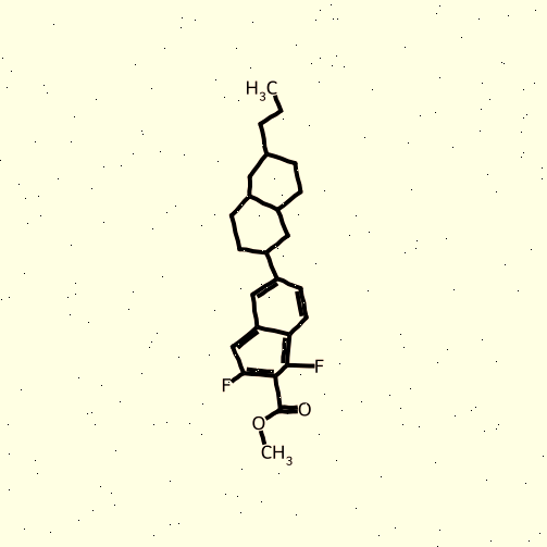 CCCC1CCC2CC(c3ccc4c(F)c(C(=O)OC)c(F)cc4c3)CCC2C1